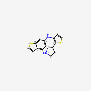 c1cc(Nc2ccc3ccsc3c2)c(C2CCNC2)s1